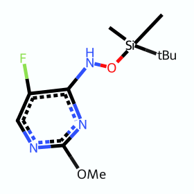 COc1ncc(F)c(NO[Si](C)(C)C(C)(C)C)n1